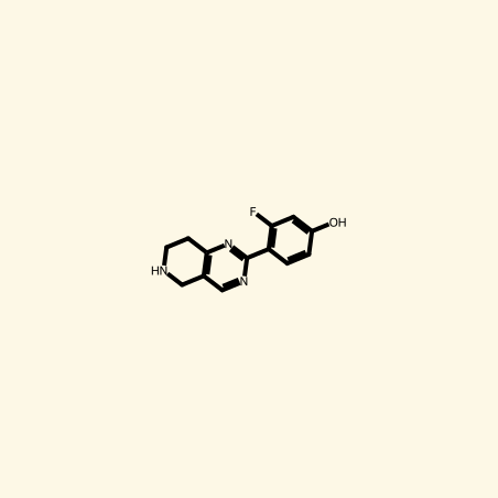 Oc1ccc(-c2ncc3c(n2)CCNC3)c(F)c1